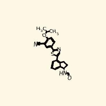 CC(C)Oc1ccc(-c2ncc(-c3cccc4c3CC[C@@H]4NC=O)s2)cc1C#N